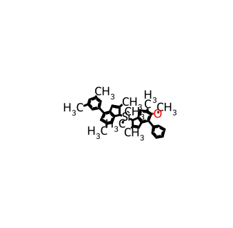 COc1c(C)cc2c(c1-c1ccccc1)C=C(C)C2[Si](C)(C)C1C(C)=Cc2c(-c3cc(C)cc(C)c3)cc(C)cc21